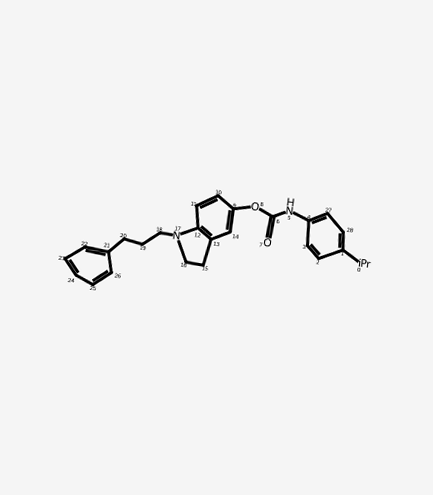 CC(C)c1ccc(NC(=O)Oc2ccc3c(c2)CCN3CCCc2ccccc2)cc1